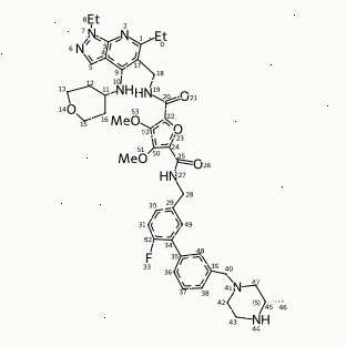 CCc1nc2c(cnn2CC)c(NC2CCOCC2)c1CNC(=O)c1oc(C(=O)NCc2ccc(F)c(-c3cccc(CN4CCN[C@@H](C)C4)c3)c2)c(OC)c1OC